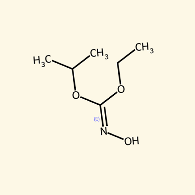 CCO/C(=N\O)OC(C)C